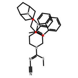 CS/C(=N\C#N)N1CCC(CCN2C3CCC2CC(n2c(C)nc4ccccc42)C3)(c2ccccc2)CC1